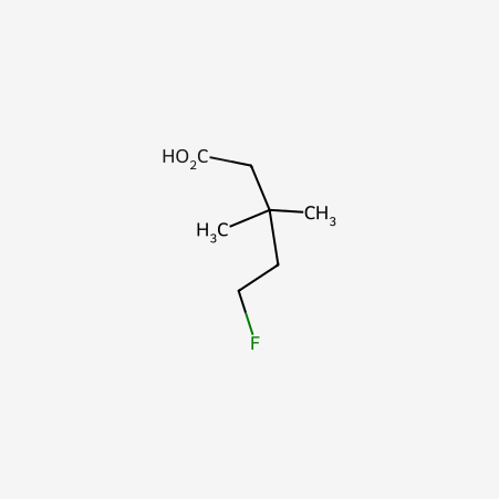 CC(C)(CCF)CC(=O)O